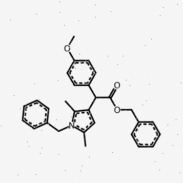 COc1ccc(C(C(=O)OCc2ccccc2)c2cc(C)n(Cc3ccccc3)c2C)cc1